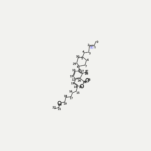 C/C=C/CCC1CCC(c2ccc3cc(CCCCCOCC)oc(=O)c3c2F)CC1